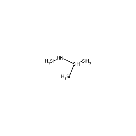 [SiH3]N[SiH]([SiH3])[SiH3]